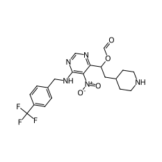 O=COC(CC1CCNCC1)c1ncnc(NCc2ccc(C(F)(F)F)cc2)c1[N+](=O)[O-]